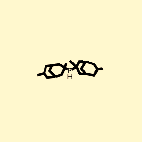 CC1CC2CC(C1)CC(C)(PC1(C)CC3CC(C)CC(C3)C1)C2